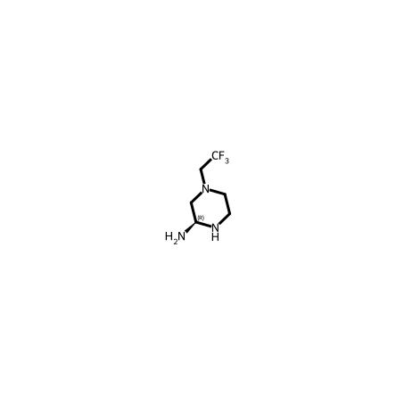 N[C@H]1CN(CC(F)(F)F)CCN1